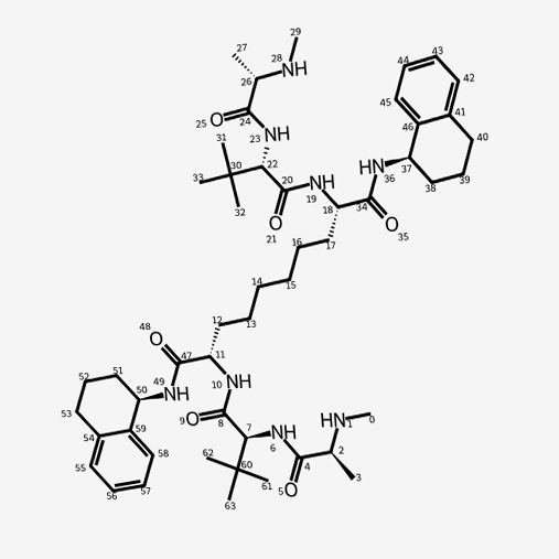 CN[C@@H](C)C(=O)N[C@H](C(=O)N[C@@H](CCCCCC[C@H](NC(=O)[C@@H](NC(=O)[C@H](C)NC)C(C)(C)C)C(=O)N[C@@H]1CCCc2ccccc21)C(=O)N[C@@H]1CCCc2ccccc21)C(C)(C)C